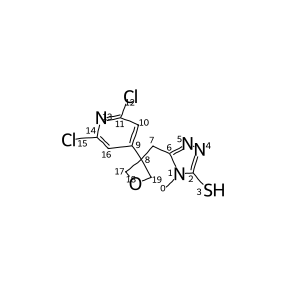 Cn1c(S)nnc1CC1(c2cc(Cl)nc(Cl)c2)COC1